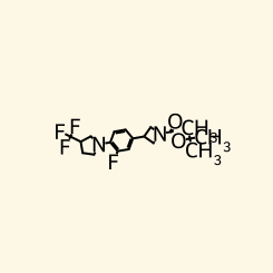 CC(C)(C)OC(=O)N1CC(c2ccc(N3CCC(C(F)(F)F)C3)c(F)c2)C1